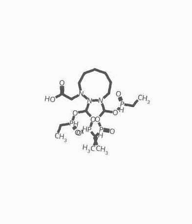 CC[PH](=O)OC(O[PH](=O)CC)N1CCCCCCN(CC(=O)O)N1C(O[PH](=O)CC)O[PH](=O)CC